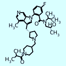 Cc1cncc2c1c(C[C@@H]1CCN(CC3CCN(C(=O)C(C)C)CC3)C1)cn2-c1ccc(F)cc1C(=O)N(C[C@@H](C)O)C(C)C